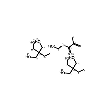 C=C(C)C(=O)OCO.CCC(CO)(CO)CO.CCC(CO)(CO)CO